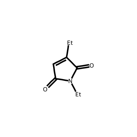 CCC1=CC(=O)N(CC)C1=O